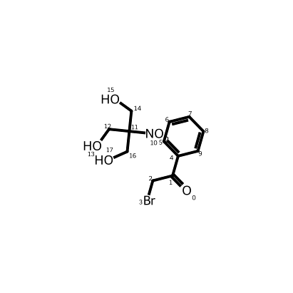 O=C(CBr)c1ccccc1.O=[N+]([O-])C(CO)(CO)CO